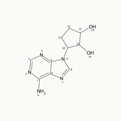 Nc1ncnc2c1ncn2C1CCC(O)C1O